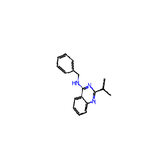 CC(C)c1nc(NCc2ccccc2)c2ccccc2n1